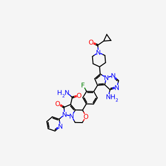 NC(=O)c1c2n(n(-c3ccccn3)c1=O)CCOC2c1ccc(-c2cc(C3CCN(C(=O)C4CC4)CC3)n3ncnc(N)c23)c(F)c1